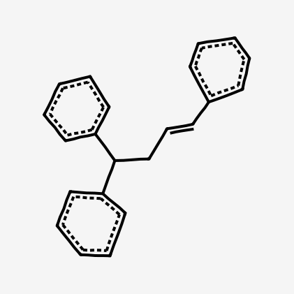 C(=Cc1ccccc1)CC(c1ccccc1)c1ccccc1